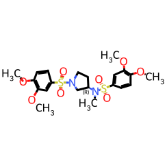 COc1ccc(S(=O)(=O)N2CC[C@@H](N(C)S(=O)(=O)c3ccc(OC)c(OC)c3)C2)cc1OC